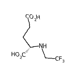 O=C(O)CC[C@H](NCC(F)(F)F)C(=O)O